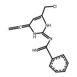 C=C=C1C=C(CCl)N/C(=N/C(=N)c2ccccc2)N1